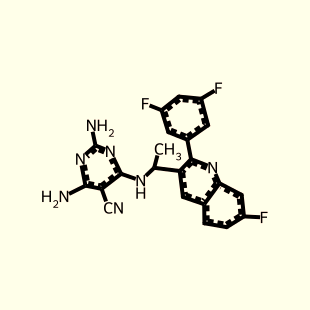 CC(Nc1nc(N)nc(N)c1C#N)c1cc2ccc(F)cc2nc1-c1cc(F)cc(F)c1